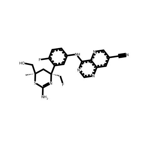 C[C@]1(CO)C[C@@](CF)(c2cc(Nc3ncnc4cc(C#N)cnc34)ccc2F)N=C(N)S1